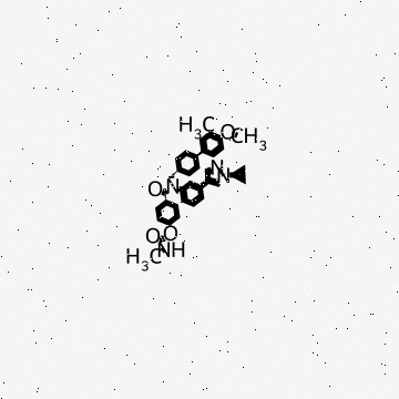 CNC(=O)O[C@H]1CC[C@H](C(=O)N(C[C@H]2CC[C@H](c3ccc(OC)c(C)c3)CC2)c2cccc(-c3cnn(C4CC4)c3)c2)CC1